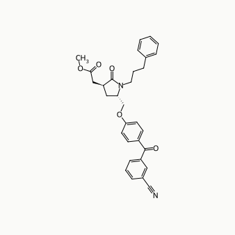 COC(=O)C[C@@H]1C[C@@H](COc2ccc(C(=O)c3cccc(C#N)c3)cc2)N(CCCc2ccccc2)C1=O